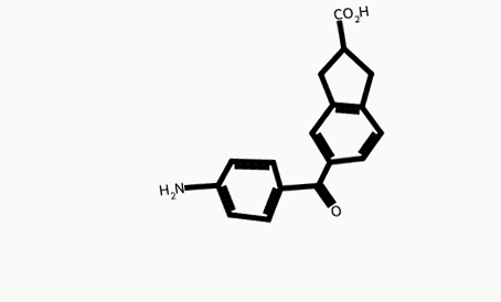 Nc1ccc(C(=O)c2ccc3c(c2)CC(C(=O)O)C3)cc1